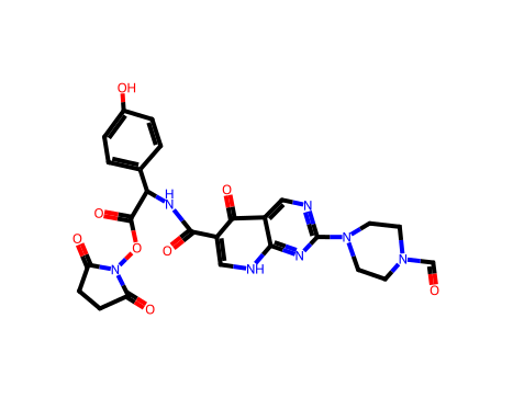 O=CN1CCN(c2ncc3c(=O)c(C(=O)NC(C(=O)ON4C(=O)CCC4=O)c4ccc(O)cc4)c[nH]c3n2)CC1